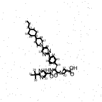 CCCC1CCC(C2CCN(c3cnc(-c4ccc(C[C@H](NC(=O)c5cnc(C(C)(C)C)nc5)C(=O)N5CC(C(=O)O)C5)cc4)nc3)CC2)CC1